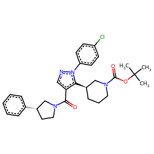 CC(C)(C)OC(=O)N1CCC[C@@H](c2c(C(=O)N3CC[C@H](c4ccccc4)C3)cnn2-c2ccc(Cl)cc2)C1